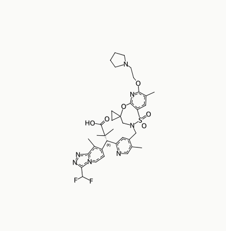 Cc1cnc([C@H](c2ccn3c(C(F)F)nnc3c2C)C(C)(C)C(=O)O)cc1CN1CC2(CC2)Oc2nc(OCCN3CCCC3)c(C)cc2S1(=O)=O